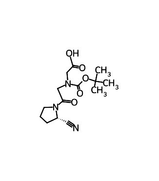 CC(C)(C)OC(=O)N(CC(=O)O)CC(=O)N1CCC[C@H]1C#N